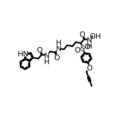 CC#CCOc1ccc(S(=O)(=O)C(CCCCNC(=O)CNC(=O)Cc2c[nH]c3ccccc23)C(=O)NO)cc1